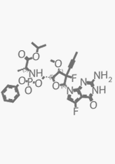 CC#CC1(F)[C@@H](OC)[C@@H](COP(=O)(N[C@@H](C)C(=O)OC(C)C)Oc2ccccc2)O[C@H]1n1cc(F)c2c(=O)[nH]c(N)nc21